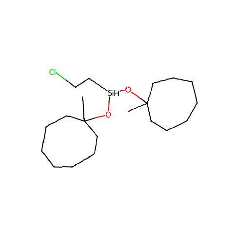 CC1(O[SiH](CCCl)OC2(C)CCCCCCC2)CCCCCCC1